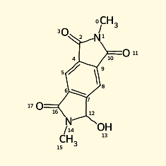 CN1C(=O)c2cc3c(cc2C1=O)C(O)N(C)C3=O